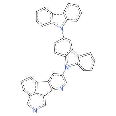 c1cc2c3c(cncc3c1)-c1ncc(-n3c4ccccc4c4cc(-n5c6ccccc6c6ccccc65)ccc43)cc1-2